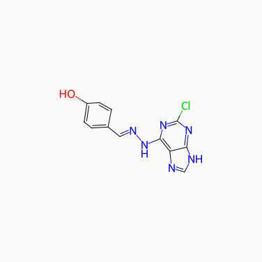 Oc1ccc(C=NNc2nc(Cl)nc3[nH]cnc23)cc1